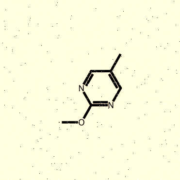 [CH2]Oc1ncc(C)cn1